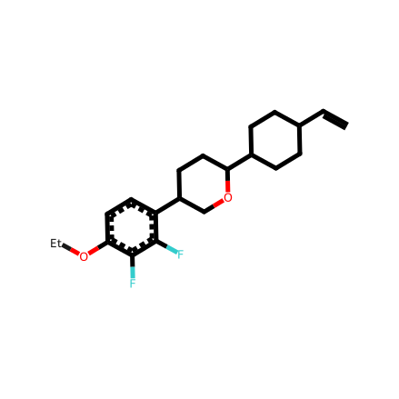 C=CC1CCC(C2CCC(c3ccc(OCC)c(F)c3F)CO2)CC1